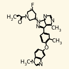 C=CC(=O)N1C[C@@H](F)C[C@@H](n2nc(-c3ccc(Oc4ccc5c(c4)ncn5C)c(C)c3)c3c(C)ncnc32)C1